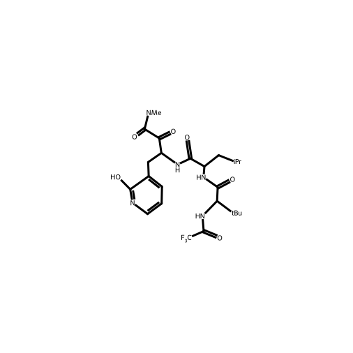 CNC(=O)C(=O)C(Cc1cccnc1O)NC(=O)C(CC(C)C)NC(=O)C(NC(=O)C(F)(F)F)C(C)(C)C